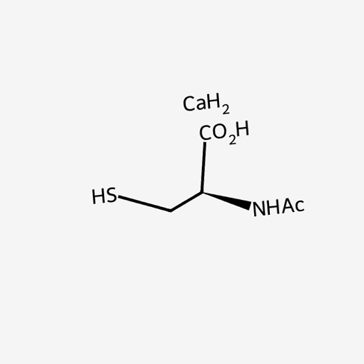 CC(=O)N[C@@H](CS)C(=O)O.[CaH2]